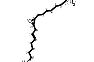 [CH2]CCCCCCCC1OC1CC=CCCCCC